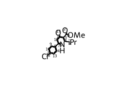 COC(=O)c1c(C(C)C)[nH]c(-c2ccc(Cl)cc2)cc1=O